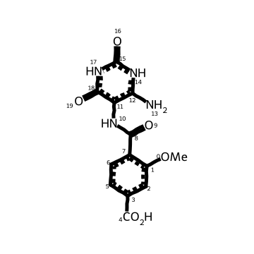 COc1cc(C(=O)O)ccc1C(=O)Nc1c(N)[nH]c(=O)[nH]c1=O